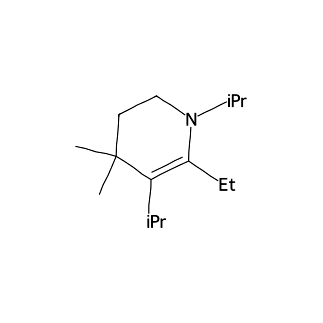 CCC1=C(C(C)C)C(C)(C)CCN1C(C)C